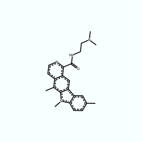 Cc1ccc2c(c1)c1cc3c(C(=O)NCCN(C)C)nccc3c(C)c1n2C